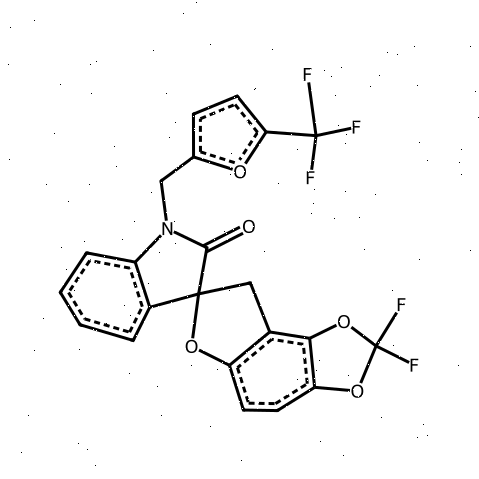 O=C1N(Cc2ccc(C(F)(F)F)o2)c2ccccc2C12Cc1c(ccc3c1OC(F)(F)O3)O2